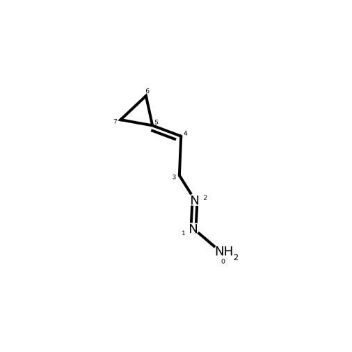 NN=NCC=C1CC1